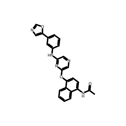 CC(=O)Nc1ccc(Oc2cncc(Nc3cccc(-c4cnco4)c3)n2)c2ccccc12